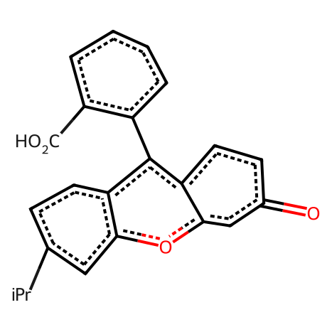 CC(C)c1ccc2c(-c3ccccc3C(=O)O)c3ccc(=O)cc-3oc2c1